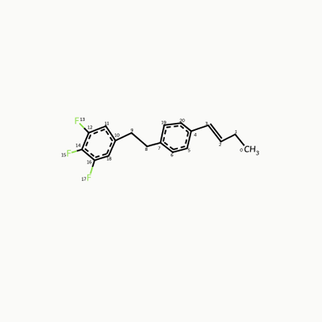 CCC=Cc1ccc(CCc2cc(F)c(F)c(F)c2)cc1